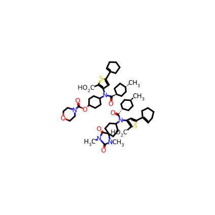 CN1C(=O)N(C)C2(CCC(N(c3cc(C4=CCCCC4)sc3C(=O)O)C(=O)[C@H]3CC[C@H](C)CC3)CC2)C1=O.C[C@H]1CC[C@H](C(=O)N(c2cc(C3=CCCCC3)sc2C(=O)O)C2CCC(OC(=O)N3CCOCC3)CC2)CC1